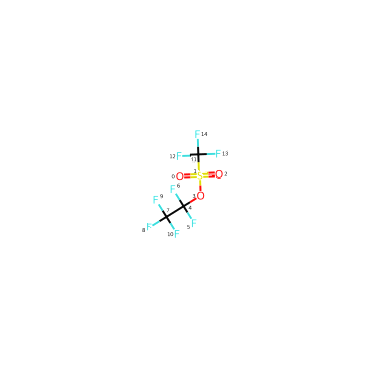 O=S(=O)(OC(F)(F)C(F)(F)F)C(F)(F)F